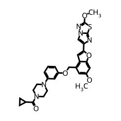 COc1cc(COc2cccc(N3CCN(C(=O)C4CC4)CC3)c2)c2cc(-c3cn4nc(OC)sc4n3)oc2c1